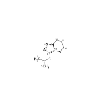 CC(C)Cc1nnn2c1CCCC2